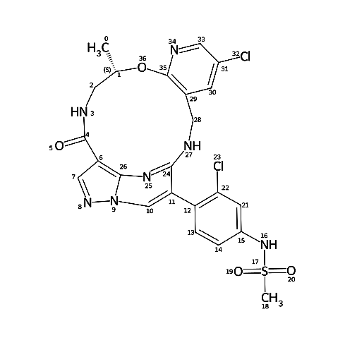 C[C@H]1CNC(=O)c2cnn3cc(-c4ccc(NS(C)(=O)=O)cc4Cl)c(nc23)NCc2cc(Cl)cnc2O1